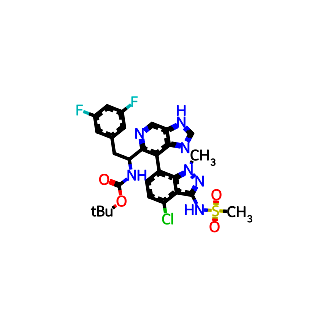 Cn1nc(NS(C)(=O)=O)c2c(Cl)ccc(-c3c(C(Cc4cc(F)cc(F)c4)NC(=O)OC(C)(C)C)ncc4[nH]cnc34)c21